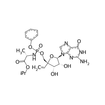 C=C[C@]1(COP(=O)(N[C@@H](C)C(=O)OC(C)C)Oc2ccccc2)O[C@@H](n2cnc3c(=O)[nH]c(N)nc32)[C@H](O)[C@@H]1O